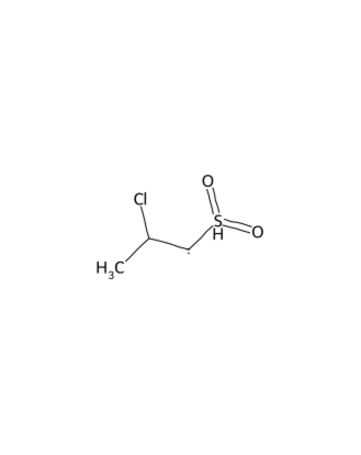 CC(Cl)[CH][SH](=O)=O